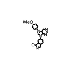 COc1ccc(N2CN(c3ccc4c(c3)C(=O)N=C4)c3ncncc32)cc1